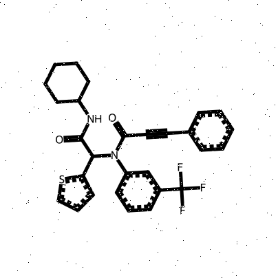 O=C(NC1CCCCC1)C(c1cccs1)N(C(=O)C#Cc1ccccc1)c1cccc(C(F)(F)F)c1